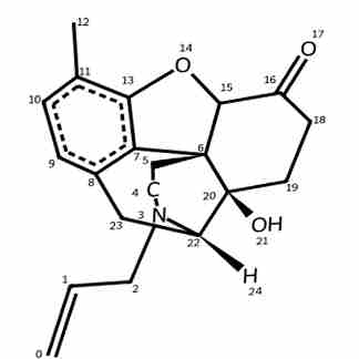 C=CCN1CC[C@@]23c4c5ccc(C)c4OC2C(=O)CC[C@]3(O)[C@@H]1C5